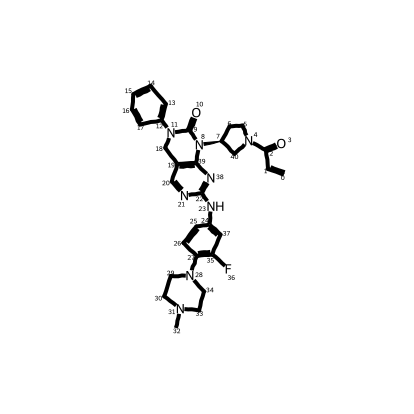 C=CC(=O)N1CC[C@H](N2C(=O)N(c3ccccc3)Cc3cnc(Nc4ccc(N5CCN(C)CC5)c(F)c4)nc32)C1